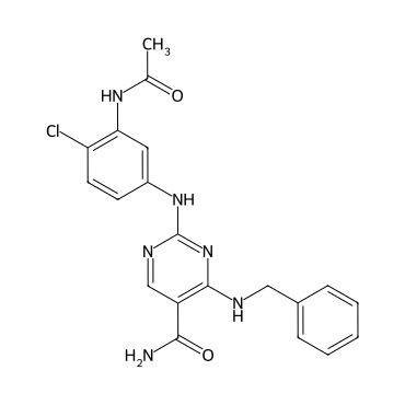 CC(=O)Nc1cc(Nc2ncc(C(N)=O)c(NCc3ccccc3)n2)ccc1Cl